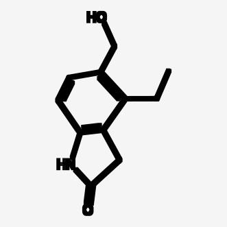 CCc1c(CO)ccc2c1CC(=O)N2